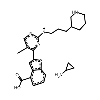 Cc1cnc(NCCCC2CCCNC2)nc1-c1cc2c(C(=O)O)cccc2s1.NC1CC1